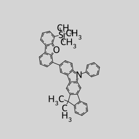 CC1(C)c2ccccc2-c2cc3c(cc21)c1cc(-c2cccc4c2oc2c([Si](C)(C)C)cccc24)ccc1n3-c1ccccc1